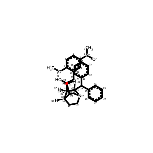 COc1ccc([S+](C)[O-])cc1CN[C@H]1[C@H]2CCN(C[C@@H]2C(=O)O)[C@H]1C(c1ccccc1)c1ccccc1